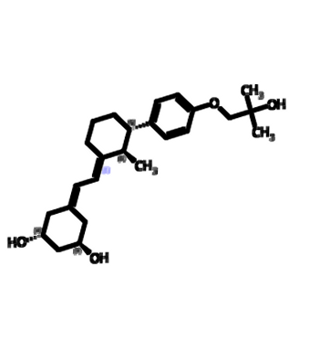 C[C@H]1/C(=C/C=C2C[C@@H](O)C[C@H](O)C2)CCC[C@@H]1c1ccc(OCC(C)(C)O)cc1